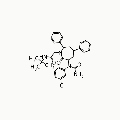 CC(C)(C)NC(=O)CN1C(=O)C(N(C(N)=O)c2cccc(Cl)c2)CC(c2ccccc2)CC1c1ccccc1